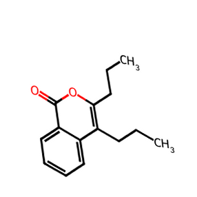 CCCc1oc(=O)c2ccccc2c1CCC